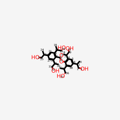 CC(CO)c1cc(C(C)CO)c(OC(=O)c2c(C(C)CO)cc(C(C)CO)cc2C(C)CO)c(C(C)CO)c1